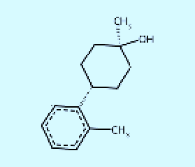 Cc1ccc[c]c1[C@H]1CC[C@](C)(O)CC1